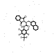 O=C(Nc1c(F)c(F)c(C(F)(F)F)c(F)c1F)[C@H](Cc1ccc2ccccc2c1)N1C(=O)c2ccccc2C1=O